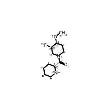 CO[C@H]1CCN(C(=O)[C@H]2CCCCN2)C[C@H]1F